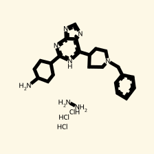 Cl.Cl.Cl.NC1CCC(c2nc3ncnc-3c(C3CCN(Cc4ccccc4)CC3)[nH]2)CC1.NN